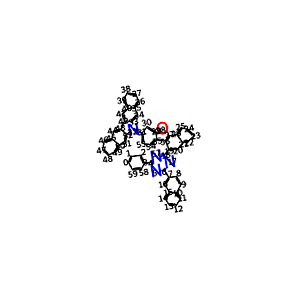 c1ccc(-c2nc(-c3ccc4ccccc4c3)nc(-c3cc4ccccc4c4oc5cc(-n6c7cc8ccccc8cc7c7cc8ccccc8cc76)ccc5c34)n2)cc1